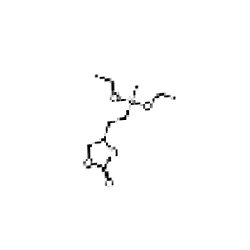 CCO[Si](C)(CCC1COC(=O)O1)OCC